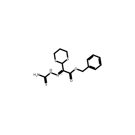 NC(=S)N/N=C(/C(=O)OCc1ccccc1)C1SCCCS1